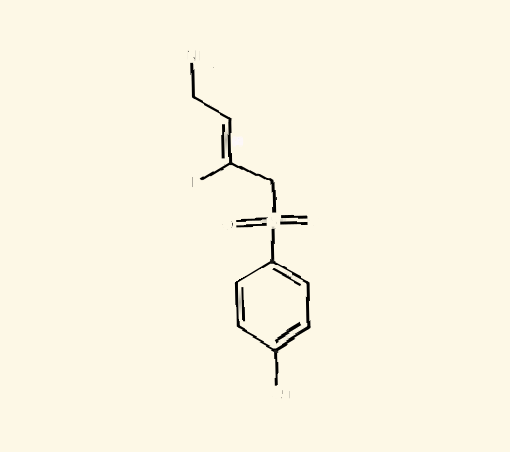 Cc1ccc(S(=O)(=O)C/C(F)=C/CN)cc1